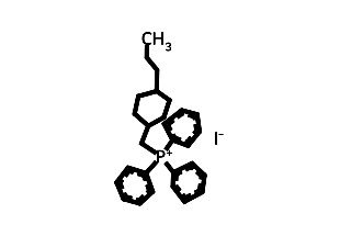 CCCC1CCC(C[P+](c2ccccc2)(c2ccccc2)c2ccccc2)CC1.[I-]